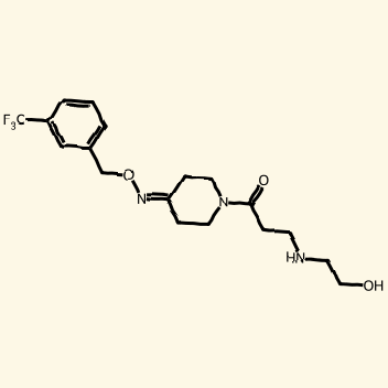 O=C(CCNCCO)N1CCC(=NOCc2cccc(C(F)(F)F)c2)CC1